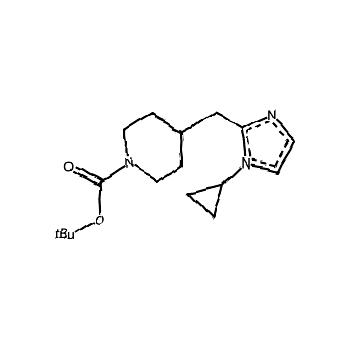 CC(C)(C)OC(=O)N1CCC(Cc2nccn2C2CC2)CC1